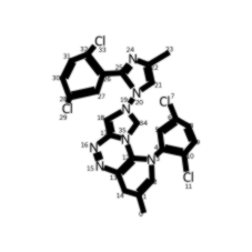 CC1=CN(c2cc(Cl)ccc2Cl)C2=C(C1)N=NC1=CN(n3cc(C)nc3-c3cc(Cl)ccc3Cl)CN12